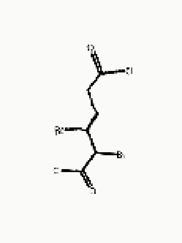 O=C(Cl)CCC(Br)C(Br)C(=O)Cl